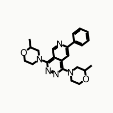 CC1CN(c2nnc(N3CCOC(C)C3)c3cc(-c4ccccc4)ncc23)CCO1